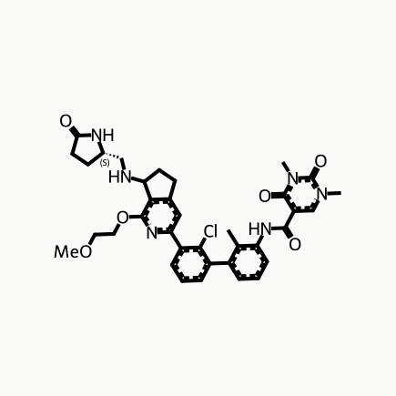 COCCOc1nc(-c2cccc(-c3cccc(NC(=O)c4cn(C)c(=O)n(C)c4=O)c3C)c2Cl)cc2c1C(NC[C@@H]1CCC(=O)N1)CC2